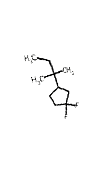 CCC(C)(C)C1CCC(F)(F)C1